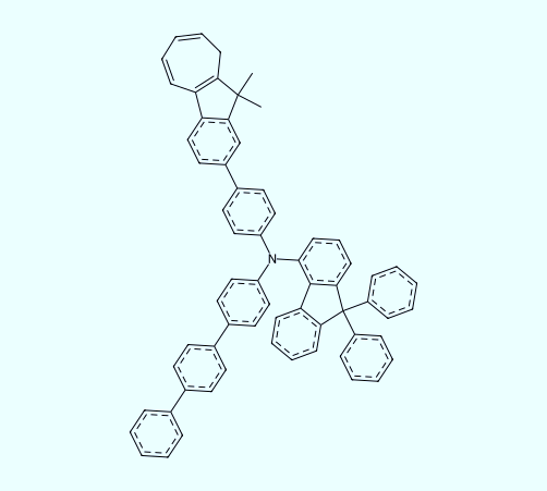 CC1(C)C2=C(C=CC=CC2)c2ccc(-c3ccc(N(c4ccc(-c5ccc(-c6ccccc6)cc5)cc4)c4cccc5c4-c4ccccc4C5(c4ccccc4)c4ccccc4)cc3)cc21